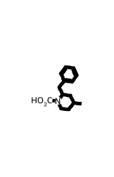 CC1CCN(C(=O)O)C(Cc2ccccc2)C1